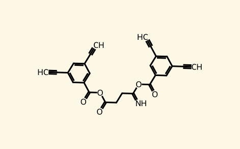 C#Cc1cc(C#C)cc(C(=O)OC(=N)CCC(=O)OC(=O)c2cc(C#C)cc(C#C)c2)c1